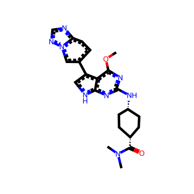 COc1nc(N[C@H]2CC[C@@H](C(=O)N(C)C)CC2)nc2[nH]cc(-c3ccc4ncnn4c3)c12